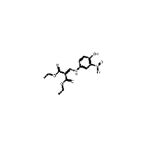 CCOC(=O)C(=CNc1ccc(O)c([N+](=O)[O-])c1)C(=O)OCC